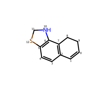 C1=Cc2ccc3c(c2CC1)NCS3